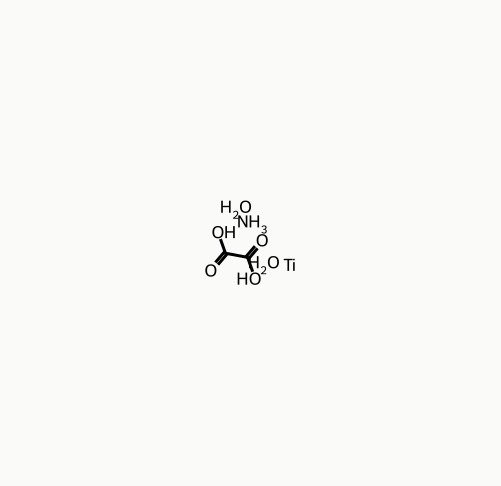 N.O.O.O=C(O)C(=O)O.[Ti]